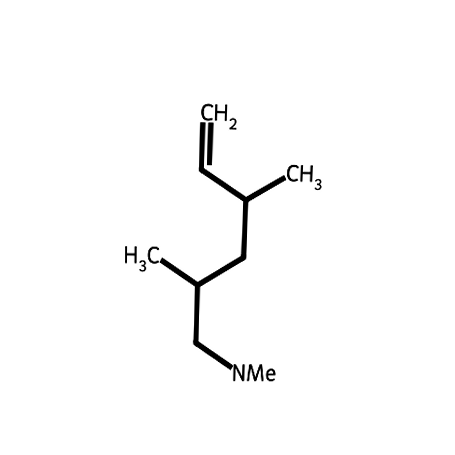 C=CC(C)CC(C)CNC